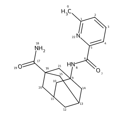 Cc1cccc(C(=O)NC23CC4CC(C2)CC(C(N)=O)(C4)C3)n1